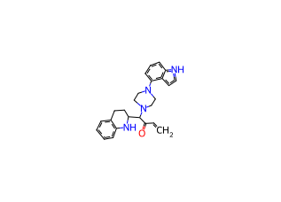 C=CC(=O)C(C1CCc2ccccc2N1)N1CCN(c2cccc3[nH]ccc23)CC1